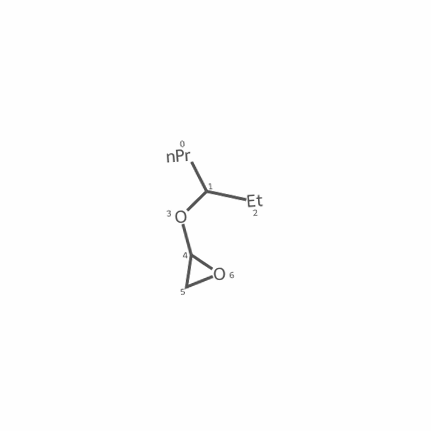 CCCC(CC)OC1CO1